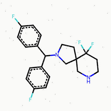 Fc1ccc(C(c2ccc(F)cc2)N2CCC3(CNCCC3(F)F)C2)cc1